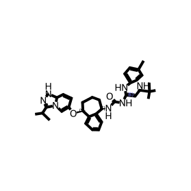 Cc1ccc(N/C(=C\C(=N)C(C)(C)C)NC(=O)N[C@H]2CCC[C@H](OC3=CN4C(C(C)C)=NNC4C=C3)c3ccccc32)cc1